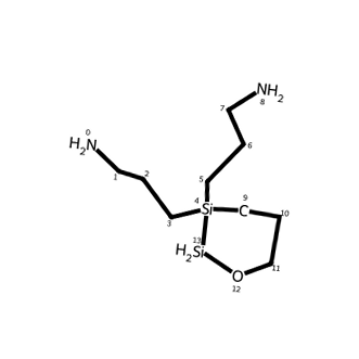 NCCC[Si]1(CCCN)CCCO[SiH2]1